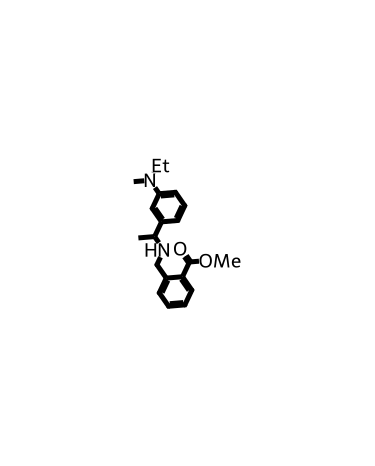 CCN(C)c1cccc(C(C)NCc2ccccc2C(=O)OC)c1